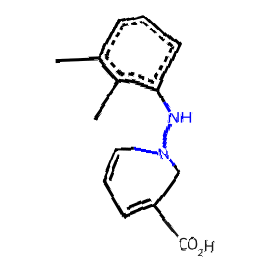 Cc1cccc(NN2C=CC=C(C(=O)O)C2)c1C